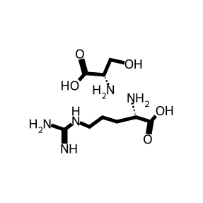 N=C(N)NCCC[C@H](N)C(=O)O.N[C@@H](CO)C(=O)O